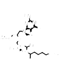 CCCCCCCCCCCCCCC(C)OC(CC)OP(=O)(O)CO[C@H](COC)Cn1cnc2c(=O)[nH]c(N)nc21